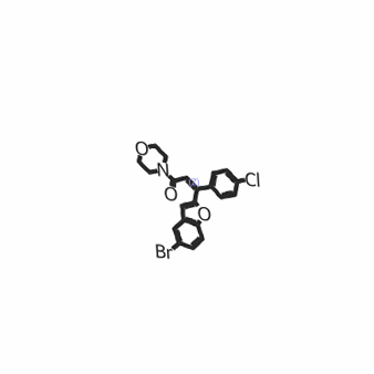 O=C(/C=C(/c1ccc(Cl)cc1)c1cc2cc(Br)ccc2o1)N1CCOCC1